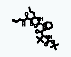 C=CCNC(=O)C(=O)[C@@H](CCC)NC(=O)[C@@H]1C2CCC(C2)N1C(=O)C(NC(=O)OC(C)(C)C)C(C)(C)C